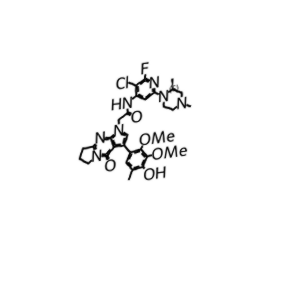 COc1c(-c2cn(CC(=O)Nc3cc(N4CCN(C)C[C@@H]4C)nc(F)c3Cl)c3nc4n(c(=O)c23)CCC4)cc(C)c(O)c1OC